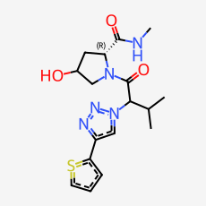 CNC(=O)[C@H]1CC(O)CN1C(=O)C(C(C)C)n1cc(-c2cccs2)nn1